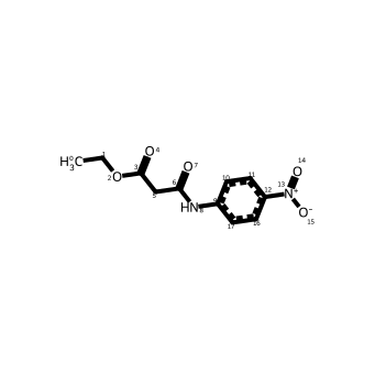 CCOC(=O)CC(=O)Nc1ccc([N+](=O)[O-])cc1